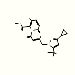 CNC(=O)c1c(C)ccc2nc(Cn3nc(C4CC4)cc3C(F)(F)F)cc(=O)n12